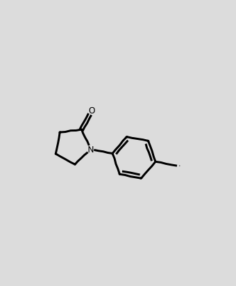 [CH2]c1ccc(N2CCCC2=O)cc1